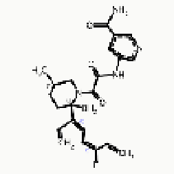 B[C@@]1(/C(C=C)=C/C=C(/F)C=C)CC[C@@H](C)CN1C(=O)C(=O)Nc1cncc(C(N)=O)c1